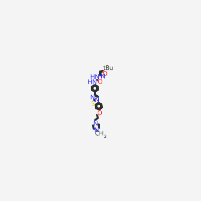 CN1CCN(CCCOc2ccc3c(c2)sc2nc(-c4ccc(NC(=O)Nc5cc(C(C)(C)C)on5)cc4)cn23)CC1